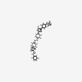 Cc1cc(N2CCN(CCN3CCS(=O)(=NC(=O)OCc4ccccc4)CC3)CC2)nn1-c1ccc(OC(F)(F)F)cc1